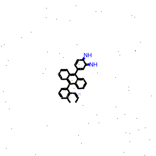 C/C=C\c1c(C)cccc1-c1c2ccccc2c(C2=CC(=N)C(=N)C=C2)c2ccccc12